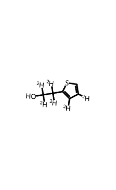 [2H]c1csc(C([2H])([2H])C([2H])([2H])O)c1[2H]